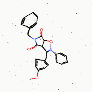 COc1ccc(C2C3C(=O)N(Cc4ccccc4)C(=O)C3ON2c2ccccc2)cc1